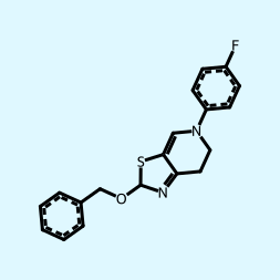 Fc1ccc(N2C=C3SC(OCc4ccccc4)N=C3CC2)cc1